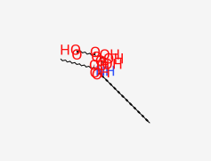 CC#CC#CC#CC#CC#CC#CC#CC#CC#CC#CC#CC#CC(=O)N[C@@H](CO[C@H]1OC(COC(=O)CCCCCCC(=O)O)[C@H](O)[C@H](O)C1O)[C@H](O)[C@H](O)CCCCCCCCCCCCCC